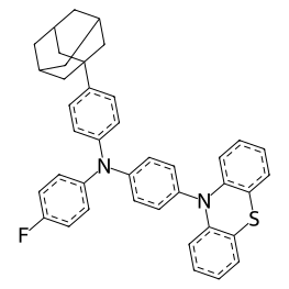 Fc1ccc(N(c2ccc(N3c4ccccc4Sc4ccccc43)cc2)c2ccc(C34CC5CC(CC(C5)C3)C4)cc2)cc1